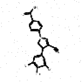 N#CC1=CN(c2ccc(C(N)=O)cc2)CC1c1cc(Br)c(O)c(Br)c1